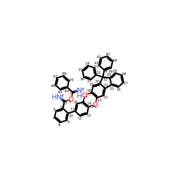 N=C(OC(=N)c1ccccc1-c1ccc2c(c1)Oc1cc3c(cc1O2)-c1ccccc1C3(c1ccccc1)c1ccccc1)c1ccccc1